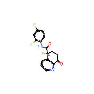 O=C1CC[C@@](F)(C(=O)Nc2ccc(F)cc2F)c2cccnc21